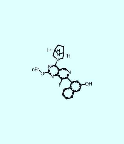 CCCOc1nc(N2C[C@H]3CC[C@@H](C2)N3)c2cnc(-c3cc(O)cc4ccccc34)c(F)c2n1